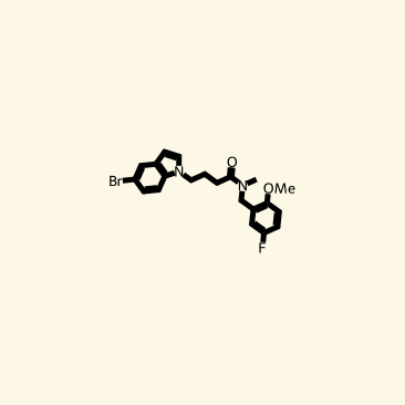 COc1ccc(F)cc1CN(C)C(=O)CCCn1ccc2cc(Br)ccc21